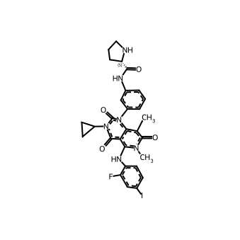 Cc1c(=O)n(C)c(Nc2ccc(I)cc2F)c2c(=O)n(C3CC3)c(=O)n(-c3cccc(NC(=O)[C@@H]4CCCN4)c3)c12